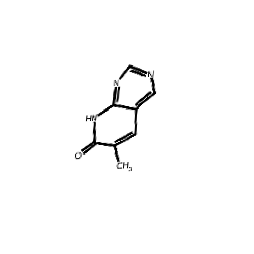 Cc1cc2cncnc2[nH]c1=O